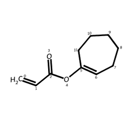 C=CC(=O)OC1=CCCCCC1